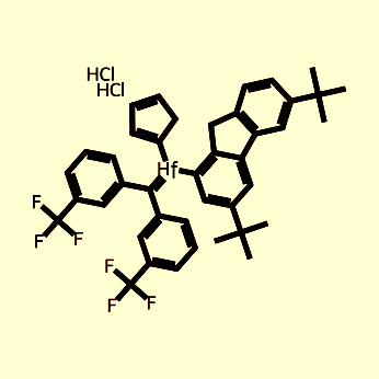 CC(C)(C)c1ccc2c(c1)-c1cc(C(C)(C)C)c[c]([Hf]([C]3=CC=CC3)=[C](c3cccc(C(F)(F)F)c3)c3cccc(C(F)(F)F)c3)c1C2.Cl.Cl